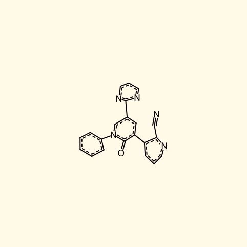 N#Cc1ncccc1-c1cc(-c2ncccn2)cn(-c2ccccc2)c1=O